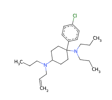 C=CCN(CCC)C1CCC(c2ccc(Cl)cc2)(N(CCC)CCC)CC1